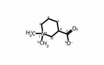 C[N+]1(C)CCCC(C(=O)[O-])C1